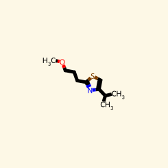 COCCCc1nc(C(C)C)cs1